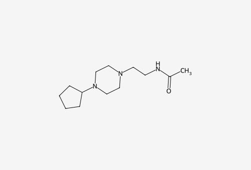 CC(=O)NCCN1CCN(C2CCCC2)CC1